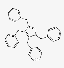 C1=C(Cc2ccccc2)C(Cc2ccccc2)=C(Cc2ccccc2)[C]1Cc1ccccc1